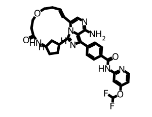 Nc1ncc2n3c(nc(-c4ccc(C(=O)Nc5cc(OC(F)F)ccn5)cc4)c13)[C@@H]1CC[C@H](C1)NC(=O)CCOCC/C=C/2